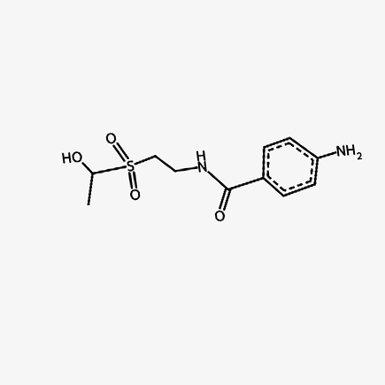 CC(O)S(=O)(=O)CCNC(=O)c1ccc(N)cc1